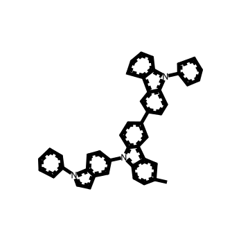 Cc1ccc2c(c1)c1cc(-c3ccc4c(c3)c3ccccc3n4-c3ccccc3)ccc1n2-c1ccc2c(ccn2-c2ccccc2)c1